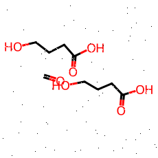 C=O.O=C(O)CCCO.O=C(O)CCCO